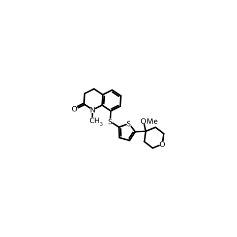 COC1(c2ccc(Sc3cccc4c3N(C)C(=O)CC4)s2)CCOCC1